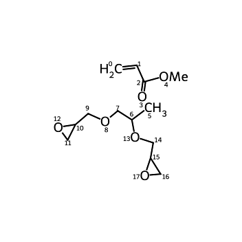 C=CC(=O)OC.CC(COCC1CO1)OCC1CO1